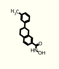 Cc1cccc(C2CCc3ccc(C(=O)NO)cc3C2)c1